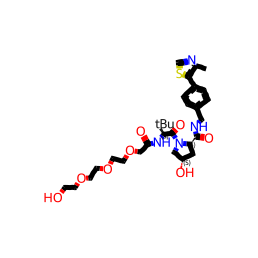 Cc1ncsc1-c1ccc(CNC(=O)[C@@H]2C[C@H](O)CN2C(=O)[C@@H](NC(=O)COCCOCCOCCO)C(C)(C)C)cc1